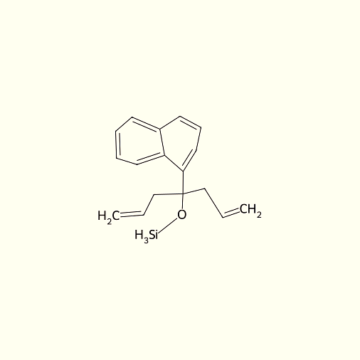 C=CCC(CC=C)(O[SiH3])c1cccc2ccccc12